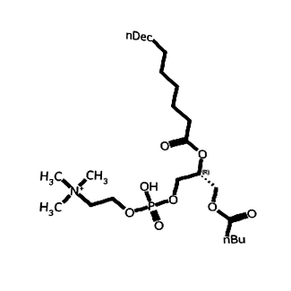 CCCCCCCCCCCCCCCC(=O)O[C@H](COC(=O)CCCC)COP(=O)(O)OCC[N+](C)(C)C